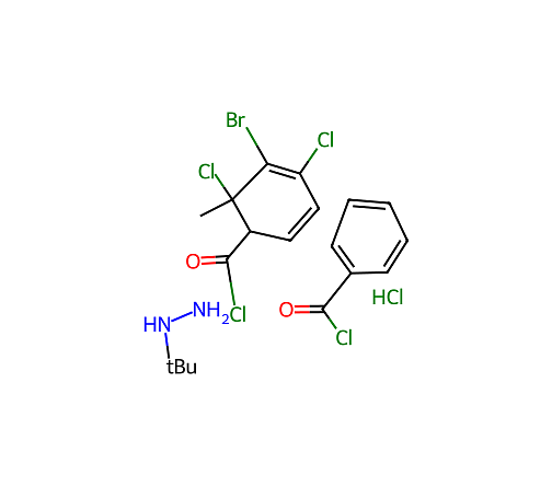 CC(C)(C)NN.CC1(Cl)C(Br)=C(Cl)C=CC1C(=O)Cl.Cl.O=C(Cl)c1ccccc1